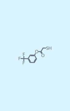 O=C(CS)Oc1cccc(C(F)(F)F)c1